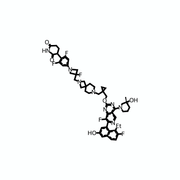 CCc1c(F)ccc2cc(O)cc(-c3ncc4c(N5CCC[C@@](C)(O)C5)nc(OCC5(CN6CCC7(CC6)CN(CC6(F)CN(c8cc(F)c(C9CCC(=O)NC9=O)c(F)c8)C6)C7)CC5)nc4c3F)c12